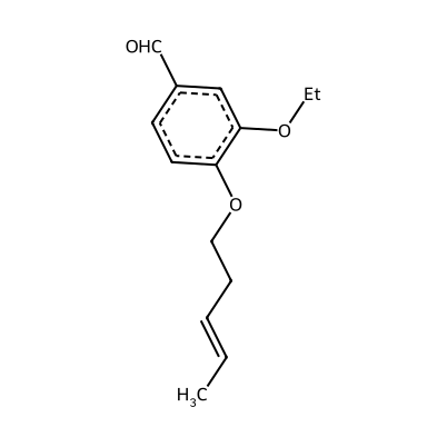 CC=CCCOc1ccc(C=O)cc1OCC